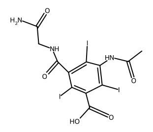 CC(=O)Nc1c(I)c(C(=O)O)c(I)c(C(=O)NCC(N)=O)c1I